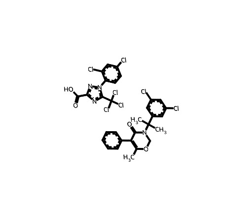 CC1=C(c2ccccc2)C(=O)N(C(C)(C)c2cc(Cl)cc(Cl)c2)CO1.O=C(O)c1nc(C(Cl)(Cl)Cl)n(-c2ccc(Cl)cc2Cl)n1